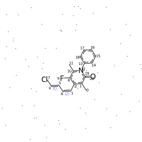 Cc1c(/C=C\C=C\Cl)c(F)c(C)n(-c2ccccc2)c1=O